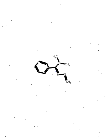 C=N/N=C(/c1ccccc1)N(C)C